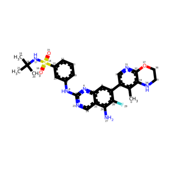 Cc1c(-c2cc3nc(Nc4cccc(S(=O)(=O)NC(C)(C)C)c4)ncc3c(N)c2F)cnc2c1NCCO2